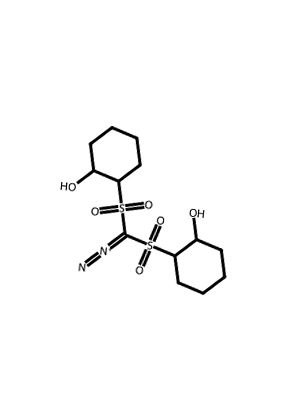 [N-]=[N+]=C(S(=O)(=O)C1CCCCC1O)S(=O)(=O)C1CCCCC1O